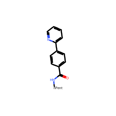 CCCCCNC(=O)c1ccc(-c2ccccn2)cc1